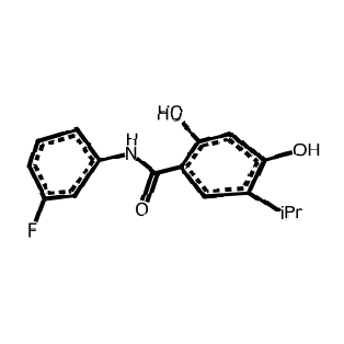 CC(C)c1cc(C(=O)Nc2cccc(F)c2)c(O)cc1O